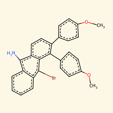 COc1ccc(-c2ccc3c(N)c4ccccc4c(Br)c3c2-c2ccc(OC)cc2)cc1